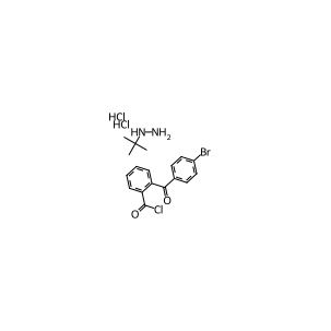 CC(C)(C)NN.Cl.Cl.O=C(Cl)c1ccccc1C(=O)c1ccc(Br)cc1